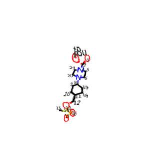 CC(C)(C)OC(=O)N1CCN(C2CCC(COS(C)(=O)=O)CC2)CC1